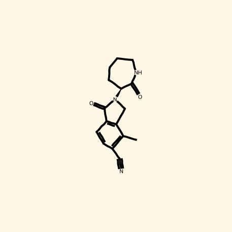 Cc1c(C#N)ccc2c1CN([C@H]1CCCCNC1=O)C2=O